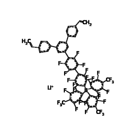 C=Cc1ccc(-c2cc(-c3ccc(C=C)cc3)cc(-c3c(F)c(F)c(-c4c(F)c(F)c([B-](c5c(F)c(F)c(C(F)(F)F)c(F)c5F)(c5c(F)c(F)c(C(F)(F)F)c(F)c5F)c5c(F)c(F)c(C(F)(F)F)c(F)c5F)c(F)c4F)c(F)c3F)c2)cc1.[Li+]